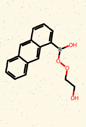 OCCOOB(O)c1cccc2cc3ccccc3cc12